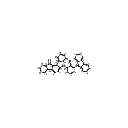 Brc1c(-n2c3ccccc3c3ccccc32)cccc1-n1c2ccccc2c2c3[nH]c4ccccc4c3ccc21